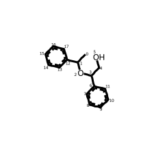 CC(OC(CO)c1ccccc1)c1ccccc1